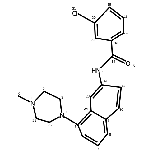 CN1CCN(c2cccc3ccc(NC(=O)c4cccc(Cl)c4)cc23)CC1